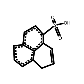 O=S(=O)(O)c1ccc2cccc3c2c1C=CC3